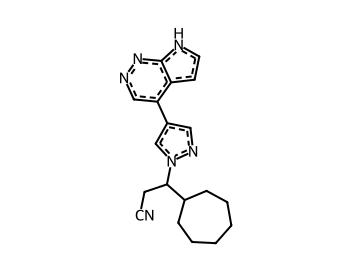 N#CCC(C1CCCCCC1)n1cc(-c2cnnc3[nH]ccc23)cn1